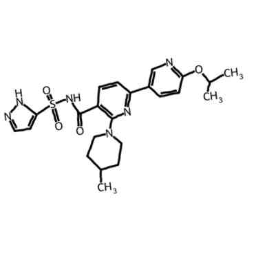 CC1CCN(c2nc(-c3ccc(OC(C)C)nc3)ccc2C(=O)NS(=O)(=O)c2ccn[nH]2)CC1